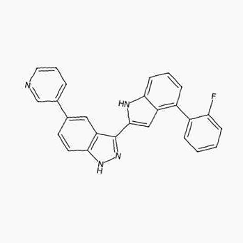 Fc1ccccc1-c1cccc2[nH]c(-c3n[nH]c4ccc(-c5cccnc5)cc34)cc12